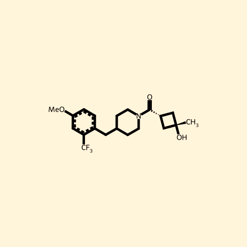 COc1ccc(CC2CCN(C(=O)[C@H]3C[C@@](C)(O)C3)CC2)c(C(F)(F)F)c1